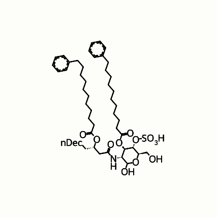 CCCCCCCCCCC[C@@H](CC(=O)N[C@H]1C(O)O[C@H](CO)[C@@H](OS(=O)(=O)O)[C@@H]1OC(=O)CCCCCCCCCCc1ccccc1)OC(=O)CCCCCCCCCCc1ccccc1